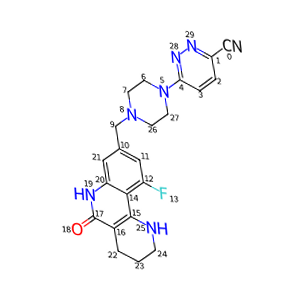 N#Cc1ccc(N2CCN(Cc3cc(F)c4c5c(c(=O)[nH]c4c3)CCCN5)CC2)nn1